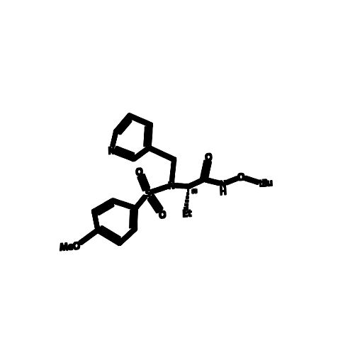 CC[C@@H](C(=O)NOC(C)(C)C)N(Cc1cccnc1)S(=O)(=O)c1ccc(OC)cc1